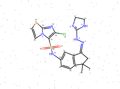 CC1(C)C/C(=N/NC2=NCCN2)c2cc(NS(=O)(=O)c3c(Cl)nc4sccn34)ccc21